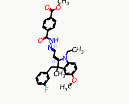 CCN1/C(=C\C=N\NC(=O)c2ccc(C(=O)OC)cc2)C(C)(Cc2cccc(F)c2)c2cc(OC)ccc21